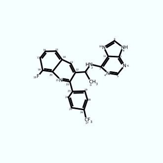 CC(Nc1ncnc2[nH]cnc12)c1cc2cccc(F)c2nc1-c1ccc(C(F)(F)F)cc1